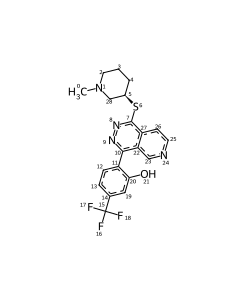 CN1CCC[C@@H](Sc2nnc(-c3ccc(C(F)(F)F)cc3O)c3cnccc23)C1